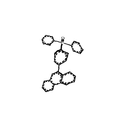 O=P(c1ccccc1)(c1ccccc1)c1ccc(-c2cc3ccccc3c3ccccc23)cc1